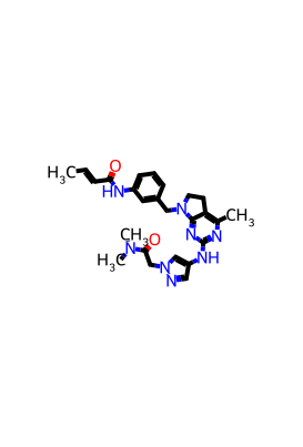 C/C=C/C(=O)Nc1cccc(CN2CCc3c(C)nc(Nc4cnn(CC(=O)N(C)C)c4)nc32)c1